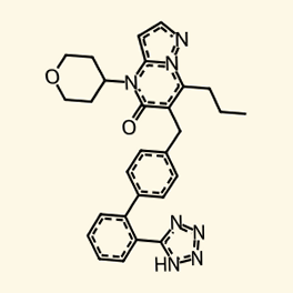 CCCc1c(Cc2ccc(-c3ccccc3-c3nnn[nH]3)cc2)c(=O)n(C2CCOCC2)c2ccnn12